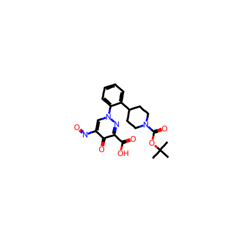 CC(C)(C)OC(=O)N1CCC(c2ccccc2-n2cc(N=O)c(=O)c(C(=O)O)n2)CC1